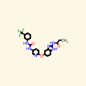 CCC(=O)Nc1nc2cc(Oc3ccc(NC(=O)Nc4cccc(C(F)(F)F)c4)cn3)ccc2[nH]1